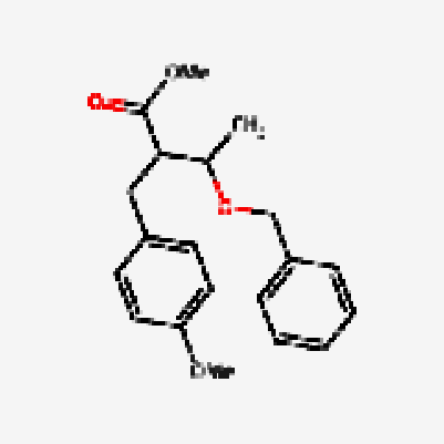 COC(=O)C(Cc1ccc(OC)cc1)C(C)OCc1ccccc1